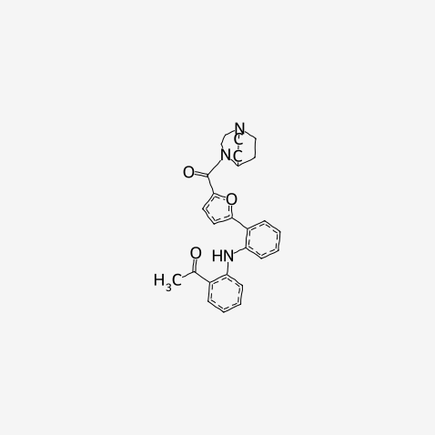 CC(=O)c1ccccc1Nc1ccccc1-c1ccc(C(=O)N2CCN3CCC2CC3)o1